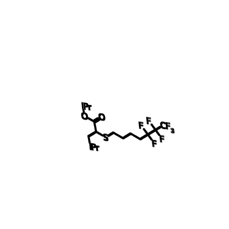 CC(C)CC(SCCCCC(F)(F)C(F)(F)C(F)(F)F)C(=O)OC(C)C